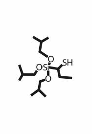 CCC(S)[Si](OCC(C)C)(OCC(C)C)OCC(C)C